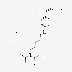 C=Cc1ccc(OCCCCCN(C(C)C)C(C)C)cc1